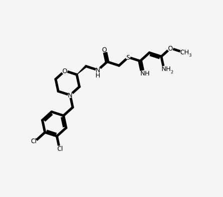 CO/C(N)=C/C(=N)SCC(=O)NC[C@H]1CN(Cc2ccc(Cl)c(Cl)c2)CCO1